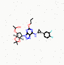 CCCOc1nc(N[C@@H]2C[C@H]2c2ccc(F)c(F)c2)c2nnn([C@@H]3C[C@H](OC(C)O)[C@H]4OC(C)(C)O[C@H]43)c2n1